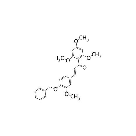 COc1cc(OC)c(C(=O)C=Cc2ccc(OCc3ccccc3)c(OC)c2)c(OC)c1